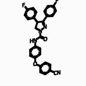 N#Cc1ccc(Oc2ccc(NC(=O)N3CC(c4ccc(F)cc4)C(c4ccc(F)cc4)=N3)cc2)cc1